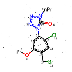 CCCn1nnn(-c2cc(OC(C)C)c(CBr)cc2Cl)c1=O